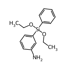 CCO[Si](OCC)(c1ccccc1)c1cccc(N)c1